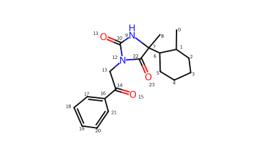 CC1CCCCC1C1(C)NC(=O)N(CC(=O)c2ccccc2)C1=O